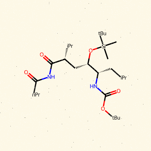 CCCC(=O)NC(=O)[C@@H](C[C@H](O[Si](C)(C)C(C)(C)C)[C@H](CC(C)C)NC(=O)OC(C)(C)C)C(C)C